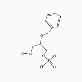 CCOCC(COP(=O)(Cl)Cl)OCc1ccccc1